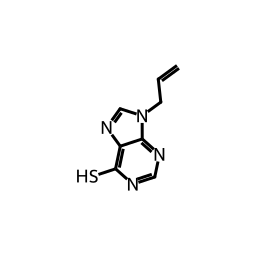 C=CCn1cnc2c(S)ncnc21